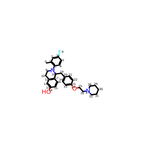 Cc1cc(F)ccc1N1CCc2cc(O)ccc2C1Cc1ccc(OCCN2CCCCC2)cc1